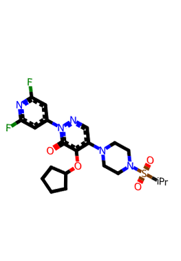 CC(C)S(=O)(=O)N1CCN(c2cnn(-c3cc(F)nc(F)c3)c(=O)c2OC2CCCC2)CC1